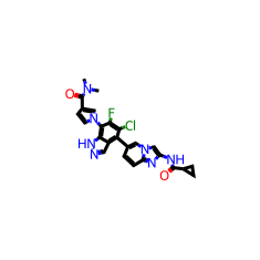 CN(C)C(=O)c1ccn(-c2c(F)c(Cl)c(-c3ccc4nc(NC(=O)C5CC5)cn4c3)c3cn[nH]c23)c1